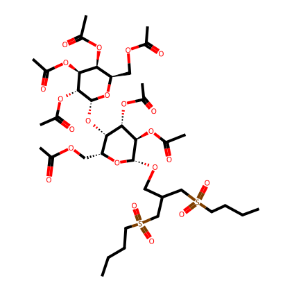 CCCCS(=O)(=O)CC(CO[C@@H]1O[C@H](COC(C)=O)[C@H](O[C@H]2O[C@H](COC(C)=O)[C@H](OC(C)=O)[C@H](OC(C)=O)[C@H]2OC(C)=O)[C@H](OC(C)=O)[C@H]1OC(C)=O)CS(=O)(=O)CCCC